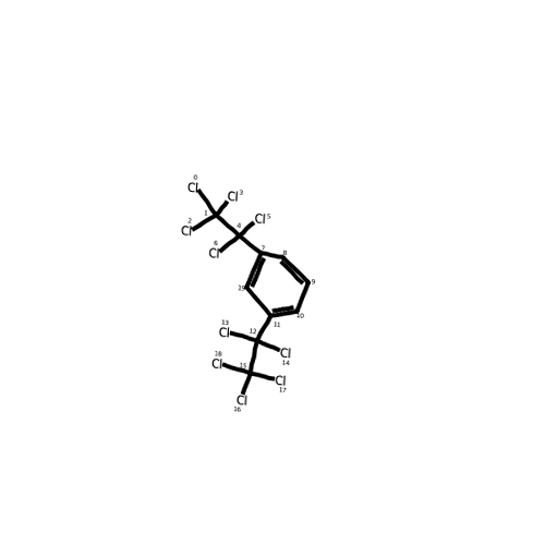 ClC(Cl)(Cl)C(Cl)(Cl)c1[c]ccc(C(Cl)(Cl)C(Cl)(Cl)Cl)c1